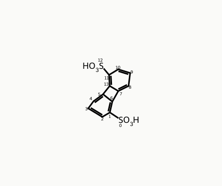 O=S(=O)(O)c1cccc2c1-c1cccc(S(=O)(=O)O)c1-2